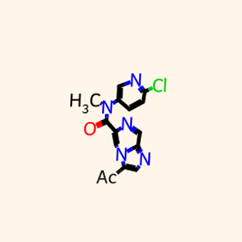 CC(=O)c1cnc2cnc(C(=O)N(C)c3ccc(Cl)nc3)cn12